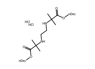 CCCCCCCCCCOC(=O)C(C)(C)NCCNC(C)(C)C(=O)OCCCCCCCCCC.Cl.Cl